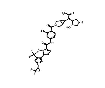 Cn1c(-c2cn(C3CC3(F)F)nc2C(F)(F)F)cnc1C(=O)Nc1ccc(C(=O)N2CC3C(C2)C3N(C(N)=O)[C@H]2CNC[C@@H]2O)c(Cl)c1